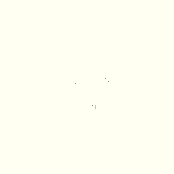 C1=CN2CC=CNC2N=C1